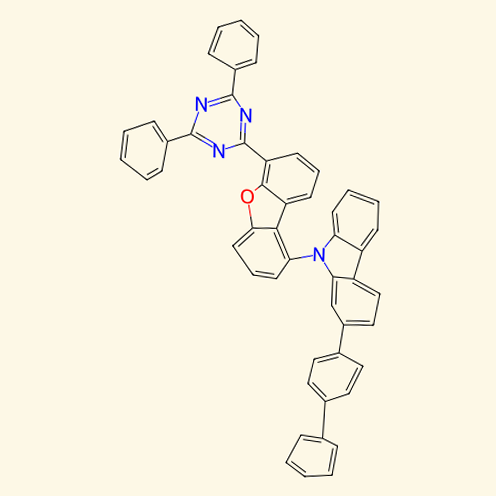 c1ccc(-c2ccc(-c3ccc4c5ccccc5n(-c5cccc6oc7c(-c8nc(-c9ccccc9)nc(-c9ccccc9)n8)cccc7c56)c4c3)cc2)cc1